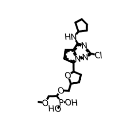 COCC(OCC1CCC(c2ccc3c(NC4CCCC4)nc(Cl)nn23)O1)P(O)O